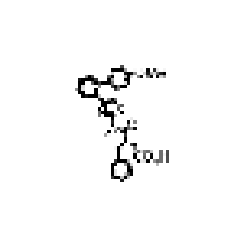 COc1ccc(-c2ccccc2-c2csc(N(C)C(=O)[C@@H](CC(=O)O)Cc3ccccc3)n2)cc1